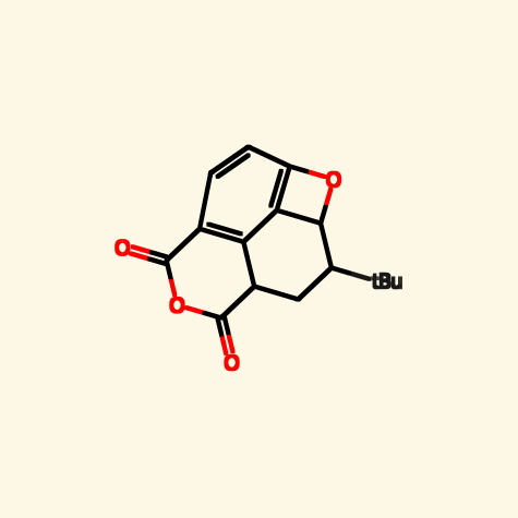 CC(C)(C)C1CC2C(=O)OC(=O)c3ccc4c(c32)C1O4